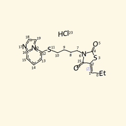 CC/C=C1\SC(=O)N(CCCCSc2cccc3nccn23)C1=O.Cl